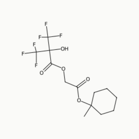 CC1(OC(=O)COC(=O)C(O)(C(F)(F)F)C(F)(F)F)CCCCC1